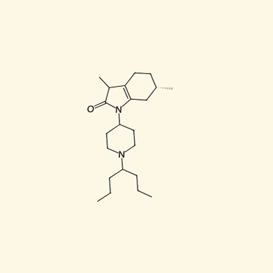 CCCC(CCC)N1CCC(N2C(=O)C(C)C3=C2C[C@@H](C)CC3)CC1